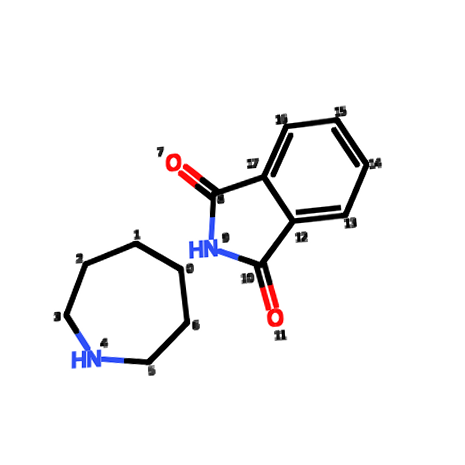 C1CCCNCC1.O=C1NC(=O)c2ccccc21